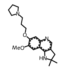 COc1cc2c3c(cnc2cc1OCCCN1CCCC1)CC(C)(C)N3